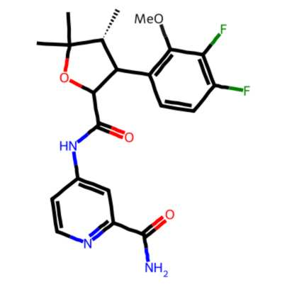 COc1c(C2C(C(=O)Nc3ccnc(C(N)=O)c3)OC(C)(C)[C@@H]2C)ccc(F)c1F